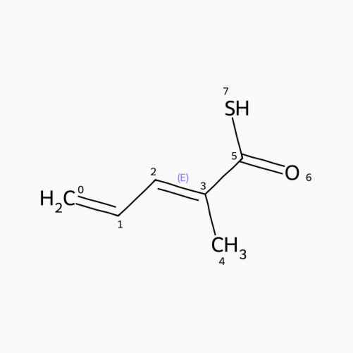 C=C/C=C(\C)C(=O)S